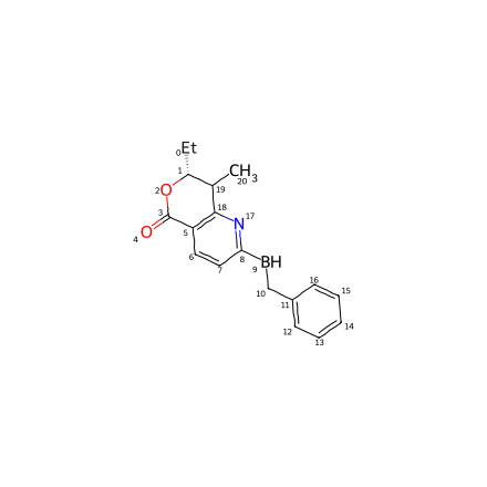 CC[C@H]1OC(=O)c2ccc(BCc3ccccc3)nc2C1C